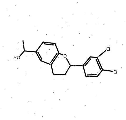 CC(O)c1ccc2c(c1)CCC(c1ccc(Cl)c(Cl)c1)O2